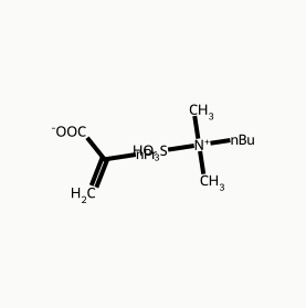 C=C(CCC)C(=O)[O-].CCCC[N+](C)(C)S(=O)(=O)O